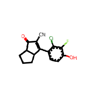 N#CC1=C(c2ccc(O)c(F)c2Cl)C2CCCC2C1=O